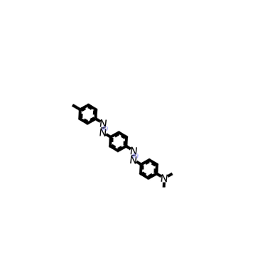 Cc1ccc(/N=N/c2ccc(/N=N/c3ccc(N(C)C)cc3)cc2)cc1